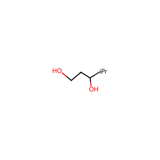 [CH2]C(C)C(O)CCO